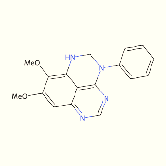 COc1cc2ncnc3c2c(c1OC)NCN3c1ccccc1